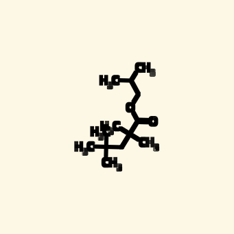 CC(C)COC(=O)C(C)(C)CC(C)(C)C